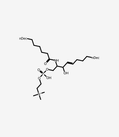 CCCCCCCCCCCCC/C=C/C(O)C(COP(=O)(O)OCC[N+](C)(C)C)NC(=O)CCCCCCCCCCCCCCC